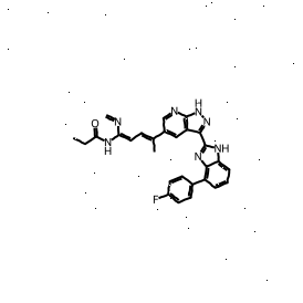 C=N/C(=C\C=C(/C)c1cnc2[nH]nc(-c3nc4c(-c5ccc(F)cc5)cccc4[nH]3)c2c1)NC(=O)CC